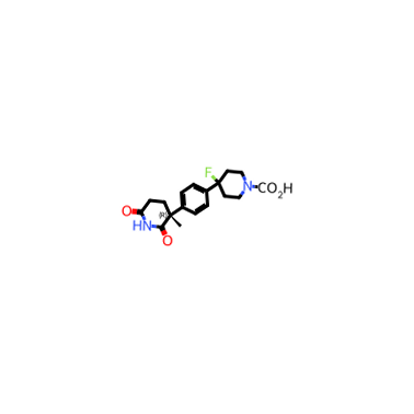 C[C@]1(c2ccc(C3(F)CCN(C(=O)O)CC3)cc2)CCC(=O)NC1=O